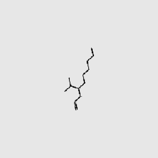 C=C[CH]C(CCCCCC)C(C)C